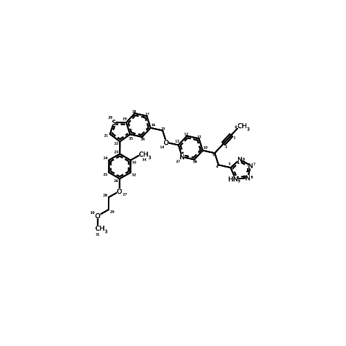 CC#CC(Cc1nnn[nH]1)c1ccc(OCc2ccc3scc(-c4ccc(OCCOC)cc4C)c3c2)nc1